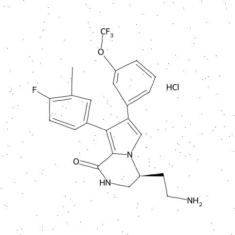 Cc1cc(-c2c(-c3cccc(OC(F)(F)F)c3)cn3c2C(=O)NC[C@@H]3CCN)ccc1F.Cl